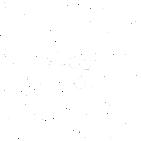 Cl.N=C(N)NC(=O)c1ccc(Cl)c(N(C(N)=O)c2ccccc2)c1